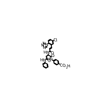 O=C(C=Cc1cc(Cl)ccc1-n1cnnn1)NC(CC(=O)Nc1ccccc1)C(=O)Nc1ccc(C(=O)O)cc1